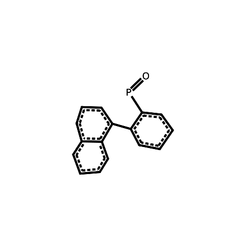 O=Pc1ccccc1-c1cccc2ccccc12